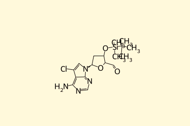 CC(C)(C)[Si](C)(C)OC1C[C@H](n2cc(Cl)c3c(N)ncnc32)OC1C=O